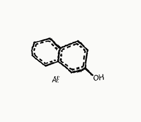 Oc1ccc2ccccc2c1.[Al]